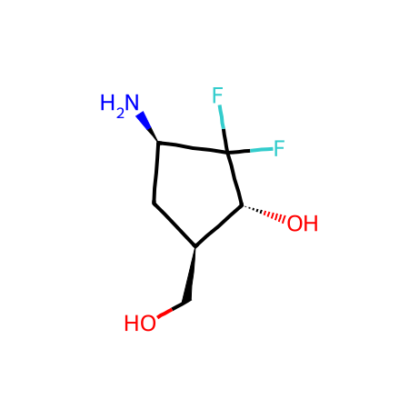 N[C@@H]1C[C@H](CO)[C@@H](O)C1(F)F